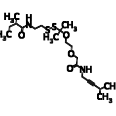 CCC(C)C(=O)NCCSSC(C)(C)OCCOCC(=O)NCC#CC(C)C